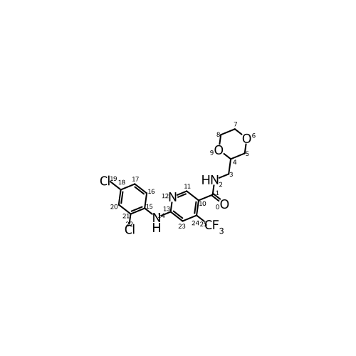 O=C(NCC1COCCO1)c1cnc(Nc2ccc(Cl)cc2Cl)cc1C(F)(F)F